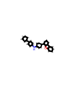 C1=CC(c2cccc3c2oc2ccccc23)CC=C1Nc1ccc(-c2ccccc2)cc1